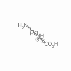 Cl.NCCCCCCCCNC(=O)CSSCC(=O)O